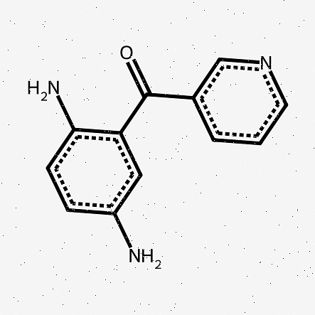 Nc1ccc(N)c(C(=O)c2cccnc2)c1